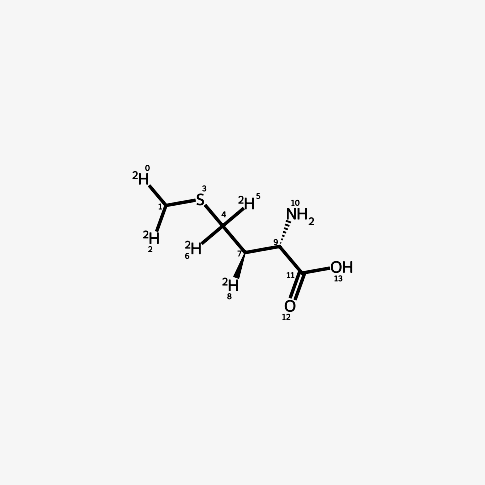 [2H]C([2H])SC([2H])([2H])[C@H]([2H])[C@H](N)C(=O)O